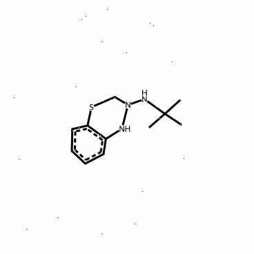 CC(C)(C)NN1CSc2ccccc2N1